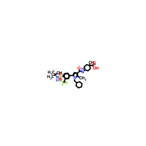 Cc1c(C(=O)NC2CCC(C)(C(=O)O)CC2)cc(-c2ccc(S(=O)(=O)NC(C)(C)C)c(C(F)(F)F)c2)n1CC1CCCCC1